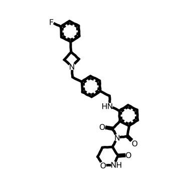 O=C1NOCCC1N1C(=O)c2cccc(NCc3ccc(CN4CC(c5cccc(F)c5)C4)cc3)c2C1=O